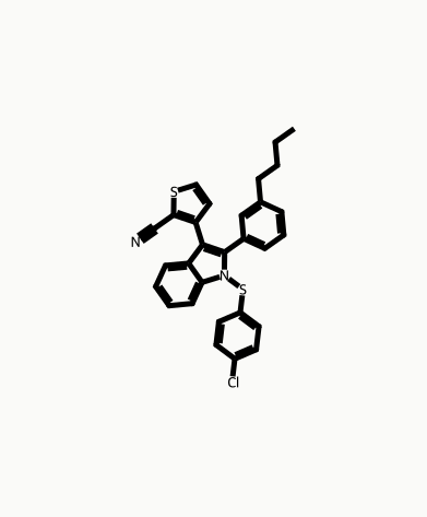 CCCCc1cccc(-c2c(-c3ccsc3C#N)c3ccccc3n2Sc2ccc(Cl)cc2)c1